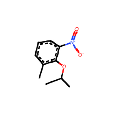 Cc1cccc([N+](=O)[O-])c1OC(C)C